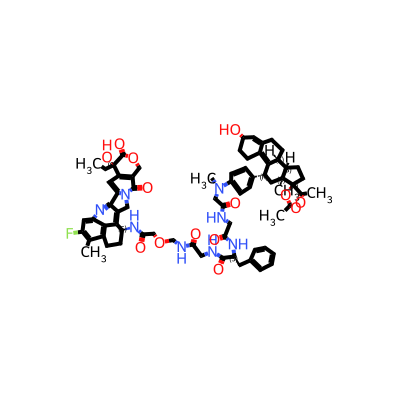 CC[C@@]1(O)C(=O)OCc2c1cc1n(c2=O)Cc2c-1nc1cc(F)c(C)c3c1c2[C@@H](NC(=O)COCNC(=O)CNC(=O)[C@H](Cc1ccccc1)NC(=O)CNC(=O)CN(C)c1ccc([C@H]2C[C@@]4(C)[C@@H](CC[C@]4(OC(C)=O)C(C)=O)[C@@H]4CCC5=CC(O)CCC5=C42)cc1)CC3